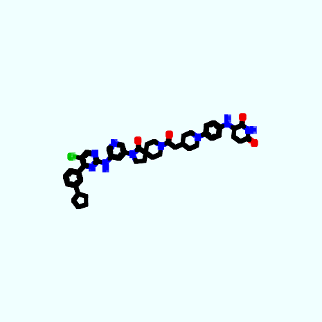 O=C1CCC(Nc2ccc(N3CCC(CC(=O)N4CCC5(CC4)CCN(c4cncc(Nc6ncc(Cl)c(-c7cccc(C8CCCC8)c7)n6)c4)C5=O)CC3)cc2)C(=O)N1